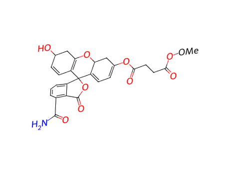 COOC(=O)CCC(=O)OC1=CC=C2C(C1)OC1=C(C=CC(O)C1)C21OC(=O)c2c(C(N)=O)cccc21